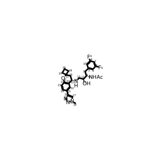 CC(=O)N[C@@H](Cc1cc(F)cc(F)c1)[C@@H](O)CN[C@H]1CC2(CCC2)Oc2ccc(-c3cn(C)nn3)cc21